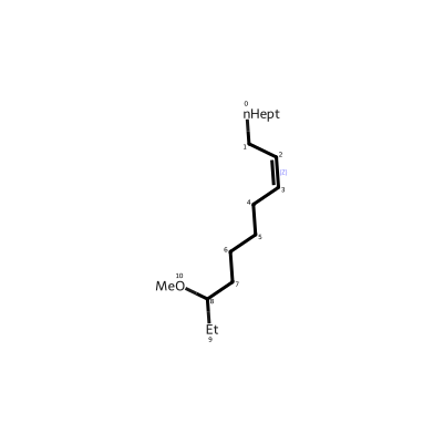 CCCCCCCC/C=C\CCCCC(CC)OC